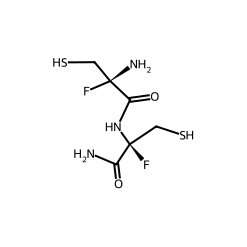 NC(=O)[C@@](F)(CS)NC(=O)[C@](N)(F)CS